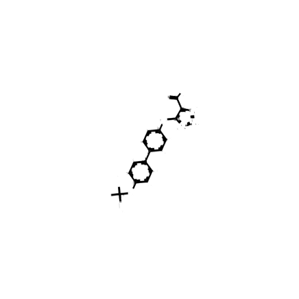 O=C(O)c1nn[nH]c1Sc1ccc(-c2ccc(SC(F)(F)F)cc2)cc1